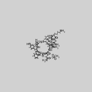 CC(=O)O.NCCCCC(NC(=O)C1CCCN1C(=O)C1CSSCC(N)C(=O)NC(Cc2ccc(O)cc2)C(=O)NC(Cc2ccccc2)C(=O)NC(CCC(N)=O)C(=O)NC(CC(N)=O)C(=O)N1)C(=O)NCC(N)=O